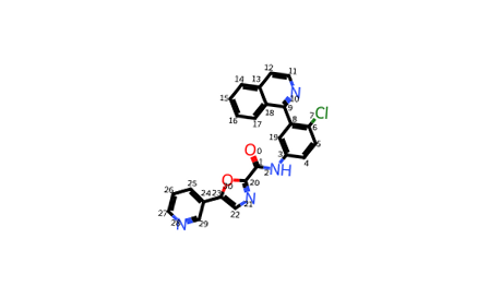 O=C(Nc1ccc(Cl)c(-c2nccc3ccccc23)c1)c1ncc(-c2cccnc2)o1